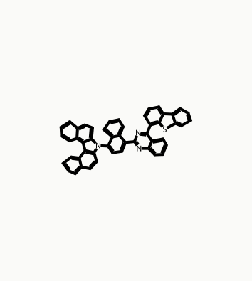 c1ccc2c(c1)ccc1c2c2c3ccccc3ccc2n1-c1ccc(-c2nc(-c3cccc4c3sc3ccccc34)c3ccccc3n2)c2ccccc12